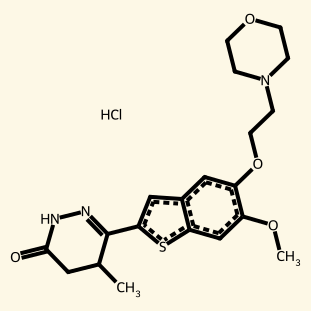 COc1cc2sc(C3=NNC(=O)CC3C)cc2cc1OCCN1CCOCC1.Cl